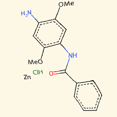 COc1cc(NC(=O)c2ccccc2)c(OC)cc1N.Cl.[Zn]